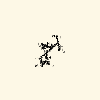 CCCNCCCCN(CCNCCN)CCNCCCN(CCCNCCN(CCCNCN(CCC)CCN)CCNCCN(CCN)CCNCCNC)CCNCCN(CCN)CCN